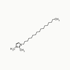 CCCCCCCCCCCCCCCCC[n+]1ccn(C)c1C